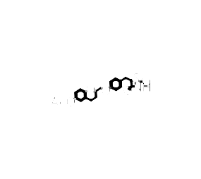 CC(=O)Oc1ccc2c(c1)CCC(COc1ccc(CC3SC(=O)NC3=O)cc1)O2